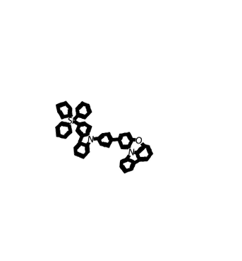 c1ccc([Si](c2ccccc2)(c2ccccc2)c2ccc3c(c2)c2ccccc2n3-c2ccc(-c3ccc4c(c3)-n3c5ccccc5c5cccc(c53)O4)cc2)cc1